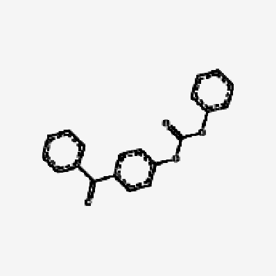 O=C(Oc1ccccc1)Oc1ccc(C(=O)c2ccccc2)cc1